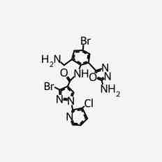 NCc1cc(Br)cc(-c2nnc(N)o2)c1NC(=O)c1cn(-c2ncccc2Cl)nc1Br